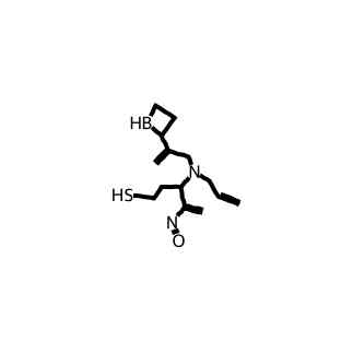 C=CCN(CC(=C)C1BCC1)C(CCS)C(=C)N=O